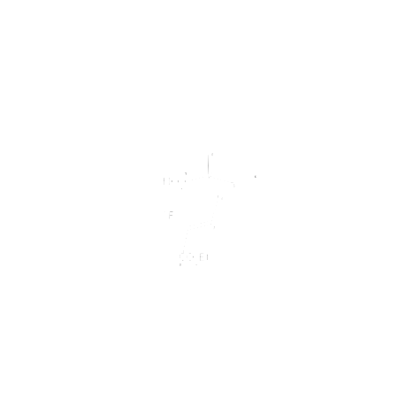 CCOC(=O)C(F)=CC1C(C)C1(C)C(=O)O